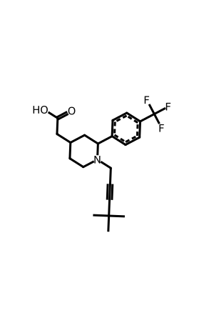 CC(C)(C)C#CCN1CCC(CC(=O)O)CC1c1ccc(C(F)(F)F)cc1